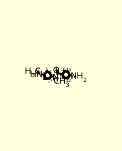 CNc1ccc(N(C)C(=O)c2ccc(N)cc2)cc1